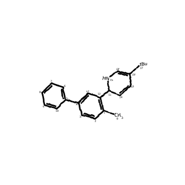 Cc1ccc(-c2ccccc2)cc1C1C=CC(C(C)(C)C)=CN1